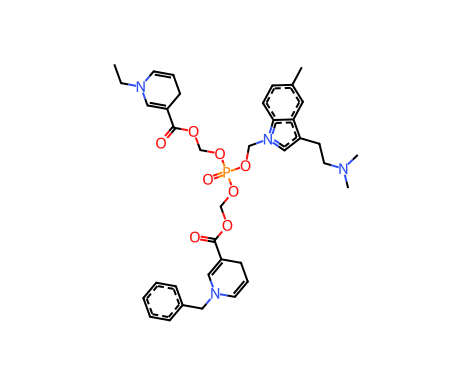 CCN1C=CCC(C(=O)OCOP(=O)(OCOC(=O)C2=CN(Cc3ccccc3)C=CC2)OCn2cc(CCN(C)C)c3cc(C)ccc32)=C1